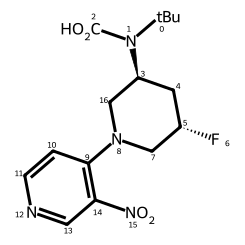 CC(C)(C)N(C(=O)O)[C@H]1C[C@H](F)CN(c2ccncc2[N+](=O)[O-])C1